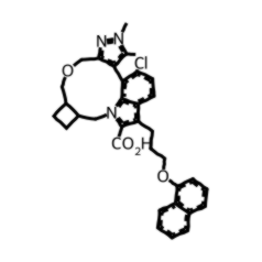 Cc1c2c(nn1C)COCC1CCC1Cn1c(C(=O)O)c(CCCOc3cccc4ccccc34)c3ccc(Cl)c-2c31